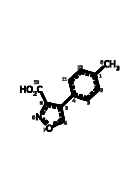 Cc1ccc(-c2conc2C(=O)O)cc1